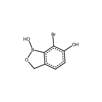 OB1OCc2ccc(O)c(Br)c21